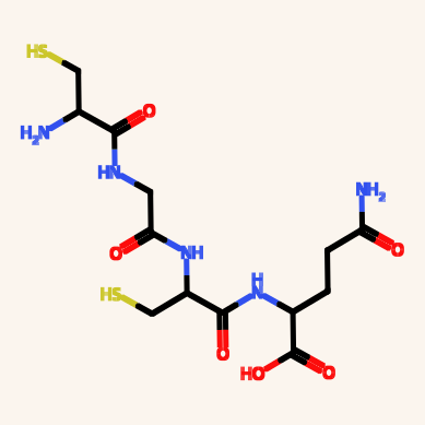 NC(=O)CCC(NC(=O)C(CS)NC(=O)CNC(=O)C(N)CS)C(=O)O